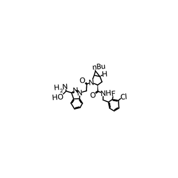 CCCC[C@H]1C2[C@H]1C[C@@H](C(=O)NCc1cccc(Cl)c1F)N2C(=O)Cn1nc(C(N)O)c2ccccc21